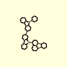 c1ccc(-n2c3ccccc3c3cc(-c4ccc5c6ccccc6n(-c6ccc7c8c(cccc68)-c6ccccc6-7)c5c4)ccc32)cc1